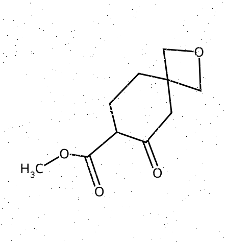 COC(=O)C1CCC2(COC2)CC1=O